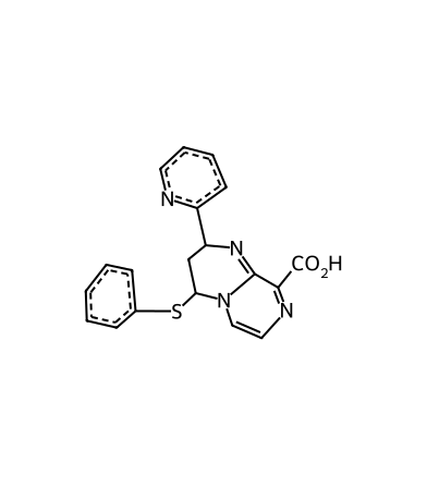 O=C(O)C1=NC=CN2C1=NC(c1ccccn1)CC2Sc1ccccc1